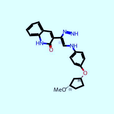 CO[C@H]1CC[C@@H](Oc2ccc(N/C=C(\N=N)c3cc4ccccc4[nH]c3=O)cc2)C1